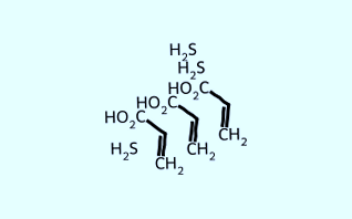 C=CC(=O)O.C=CC(=O)O.C=CC(=O)O.S.S.S